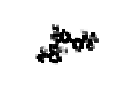 CN(C)C(=O)Nc1cncc(-c2cnc3[nH]nc(-c4nc5c(C(=O)N(C)C)ccnc5[nH]4)c3c2)c1